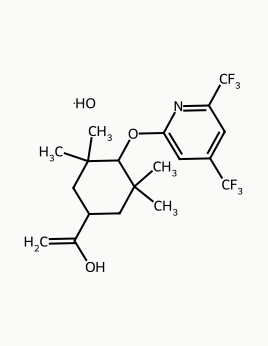 C=C(O)C1CC(C)(C)C(Oc2cc(C(F)(F)F)cc(C(F)(F)F)n2)C(C)(C)C1.[OH]